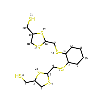 SCC1CSC(CSC2CCCCC2SCC2SCC(CS)S2)S1